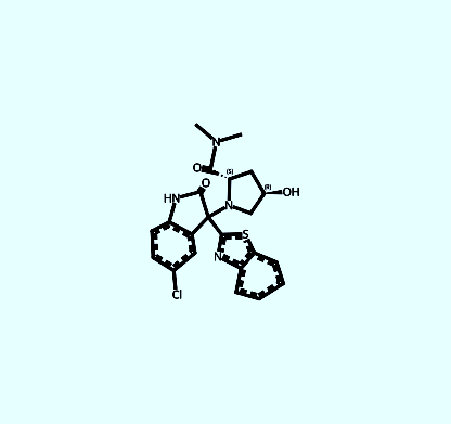 CN(C)C(=O)[C@@H]1C[C@@H](O)CN1C1(c2nc3ccccc3s2)C(=O)Nc2ccc(Cl)cc21